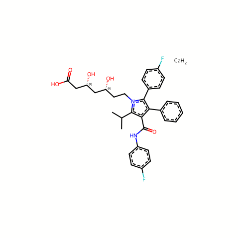 CC(C)c1c(C(=O)Nc2ccc(F)cc2)c(-c2ccccc2)c(-c2ccc(F)cc2)n1CC[C@@H](O)C[C@@H](O)CC(=O)O.[CaH2]